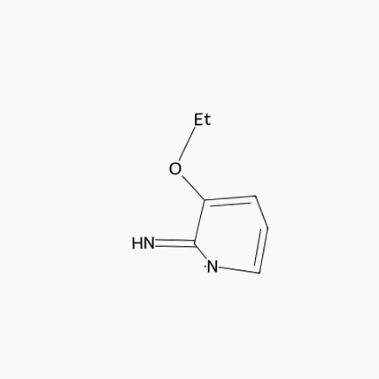 CCOC1=CC=C[N]C1=N